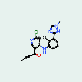 CC#CC(=O)c1cnc(Cl)cc1Nc1cccc(-c2ncn(C)n2)c1OC